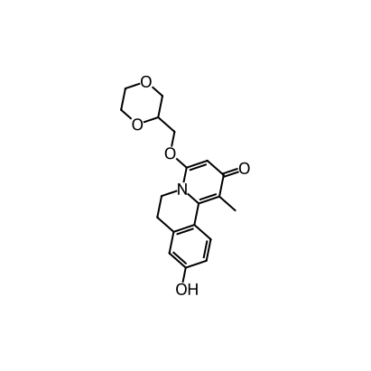 Cc1c2n(c(OCC3COCCO3)cc1=O)CCc1cc(O)ccc1-2